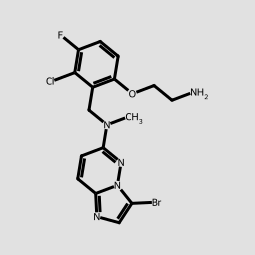 CN(Cc1c(OCCN)ccc(F)c1Cl)c1ccc2ncc(Br)n2n1